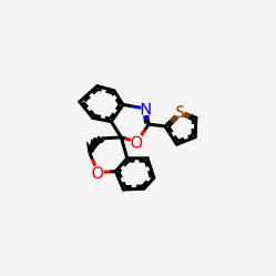 c1csc(C2=Nc3ccccc3C3(O2)c2ccccc2Oc2ccccc23)c1